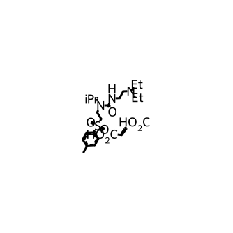 CCN(CC)CCNC(=O)N(CCS(=O)(=O)c1ccc(C)cc1)C(C)C.O=C(O)/C=C\C(=O)O